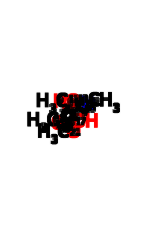 COc1cc(OC)c([C@@H]2CCN(C)C[C@@H]2O)c(O)c1C(C)=O